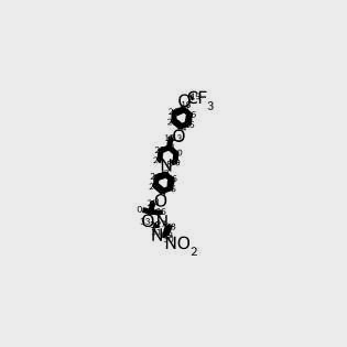 CC1(COc2ccc(N3CCC(COc4ccc(OC(F)(F)F)cc4)CC3)cc2)Cn2cc([N+](=O)[O-])nc2O1